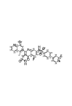 O=C(N[C@@H](Cc1ncc(Br)c2ncccc12)C(=O)O)c1c(F)cc(NS(=O)(=O)c2ccc(-c3ccnc(F)c3)cc2)cc1F